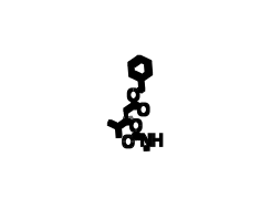 CNC(=O)O[C@H](CC(=O)OCc1ccccc1)C(C)C